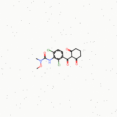 CON(C)C(=O)Nc1c(Cl)ccc(C(=O)C2C(=O)CCCC2=O)c1Cl